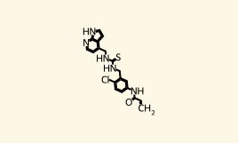 C=CC(=O)Nc1ccc(Cl)c(CNC(=S)NCc2ccnc3[nH]ccc23)c1